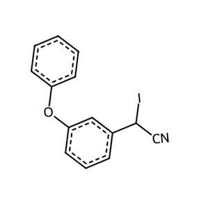 N#CC(I)c1cccc(Oc2ccccc2)c1